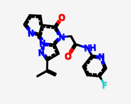 C=C(C)c1cc2n(CC(=O)Nc3ccc(F)cn3)c(=O)c3cccnc3n2n1